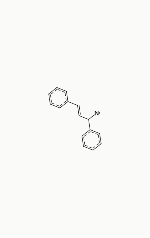 [N]C(C=Cc1ccccc1)c1ccccc1